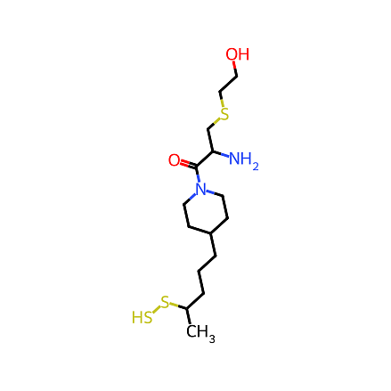 CC(CCCC1CCN(C(=O)C(N)CSCCO)CC1)SS